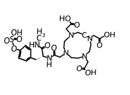 CNC(=O)[C@@H](Cc1ccc(OS(=O)(=O)O)cc1)NC(=O)CN1CCN(CC(=O)O)CCN(CC(=O)O)CCN(CC(=O)O)CC1